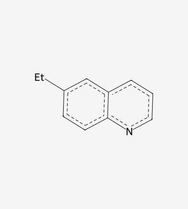 [CH2]Cc1ccc2ncccc2c1